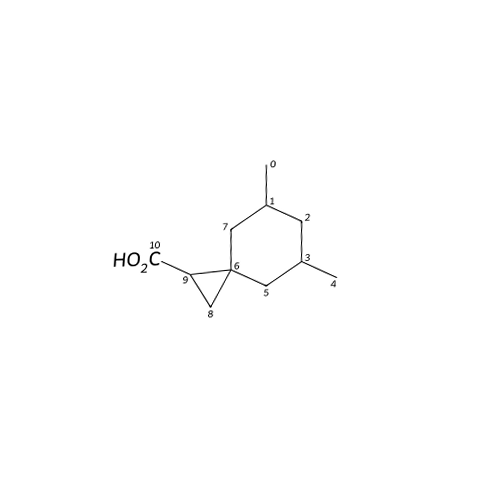 CC1CC(C)CC2(C1)CC2C(=O)O